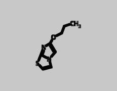 CCCOc1cn2ccsc2n1